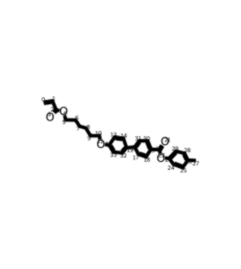 C=CC(=O)OCCCCCCOc1ccc(-c2ccc(C(=O)Oc3ccc(C)cc3)cc2)cc1